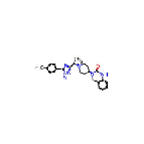 CC(c1n[nH]c(-c2ccc(C(F)(F)F)cc2)n1)N1CCC(N2Cc3ccccc3NC2=O)CC1